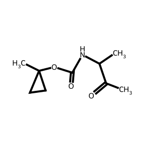 CC(=O)C(C)NC(=O)OC1(C)CC1